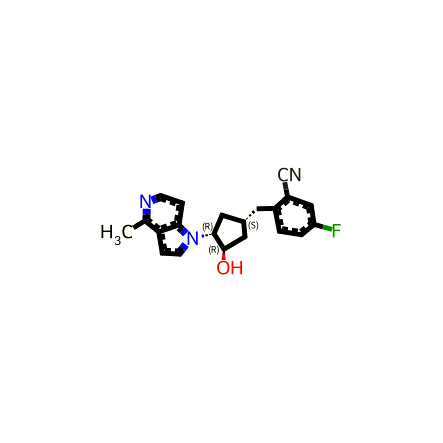 Cc1nccc2c1ccn2[C@@H]1C[C@H](Cc2ccc(F)cc2C#N)C[C@H]1O